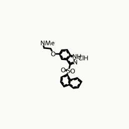 CNCCOc1ccc2[nH]nc(S(=O)(=O)c3cccc4ccccc34)c2c1.Cl